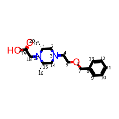 C[C@@H]1CN(CCOCc2ccccc2)C[C@H](C)N1CC(=O)O